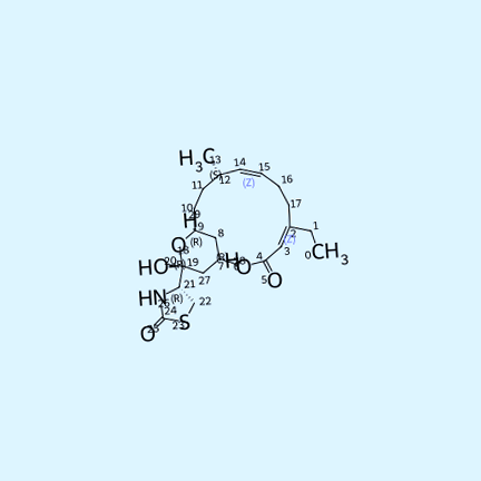 CC/C1=C/C(=O)O[C@@H]2C[C@@H](CC[C@H](C)/C=C\CC1)O[C@@](O)([C@@H]1CSC(=O)N1)C2